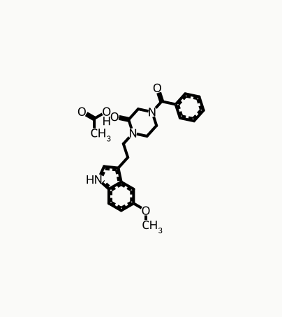 CC(=O)O.COc1ccc2[nH]cc(CCN3CCN(C(=O)c4ccccc4)CC3=O)c2c1